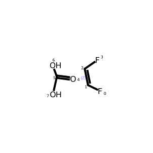 F/C=C\F.O=C(O)O